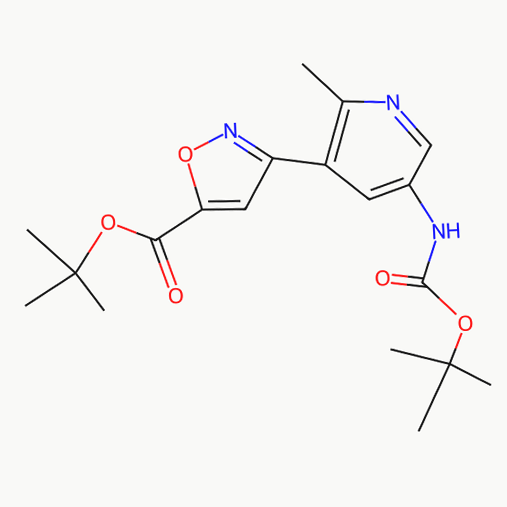 Cc1ncc(NC(=O)OC(C)(C)C)cc1-c1cc(C(=O)OC(C)(C)C)on1